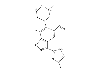 Cc1c[nH]c(-c2noc3c(F)c(N4C[C@@H](C)O[C@@H](C)C4)c(C=O)cc23)n1